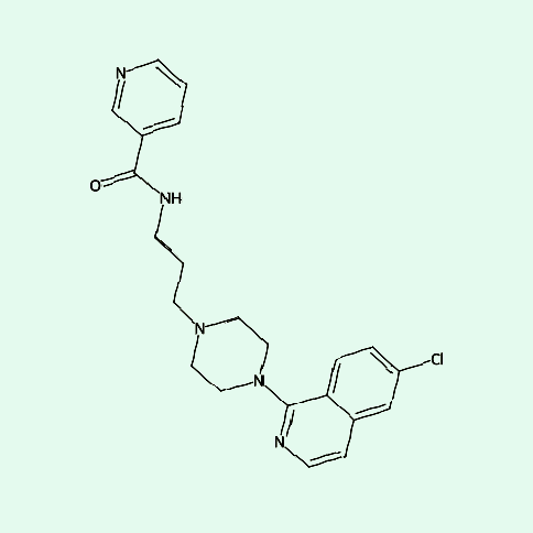 O=C(NCCCN1CCN(c2nccc3cc(Cl)ccc23)CC1)c1cccnc1